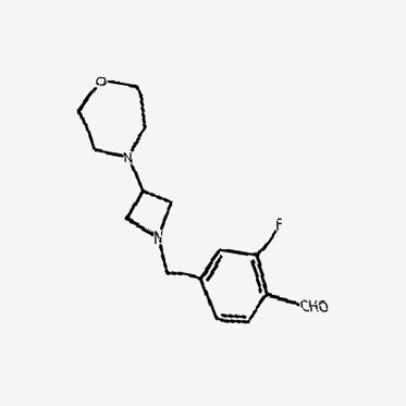 O=Cc1ccc(CN2CC(N3CCOCC3)C2)cc1F